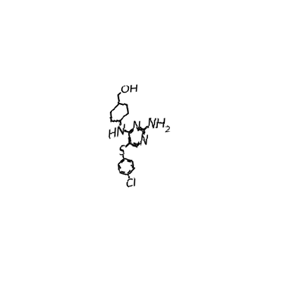 Nc1ncc(Sc2ccc(Cl)cc2)c(NC2CCC(CO)CC2)n1